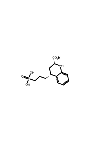 O=C(O)[C@H]1C[C@@H](CCCP(=O)(O)O)c2ccccc2N1